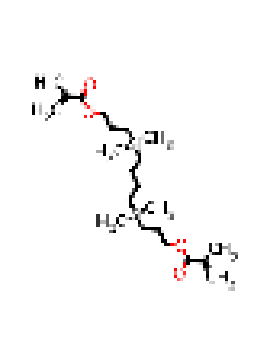 C=C(C)C(=O)OCCC[Si](C)(C)CCCC[Si](C)(C)CCCOC(=O)C(=C)C